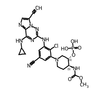 C#Cc1cnc2c(NC3CC3)nc(Nc3cc(C#N)cc(N4CC[C@H](NC(=O)OC)[C@@H](OP(=O)(O)O)C4)c3Cl)nn12